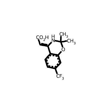 CC1(C)N/C(=C\C(=O)O)c2ccc(C(F)(F)F)cc2O1